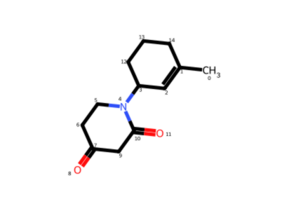 CC1=CC(N2CCC(=O)CC2=O)CCC1